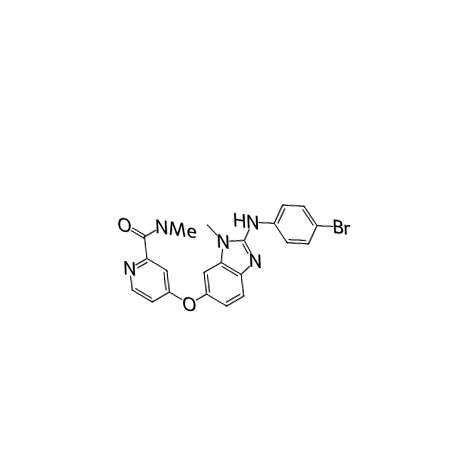 CNC(=O)c1cc(Oc2ccc3nc(Nc4ccc(Br)cc4)n(C)c3c2)ccn1